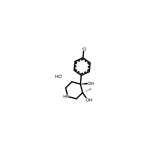 C[C@]1(O)CNCC[C@]1(O)c1ccc(Cl)cc1.Cl